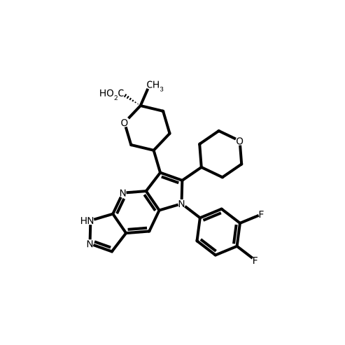 C[C@@]1(C(=O)O)CCC(c2c(C3CCOCC3)n(-c3ccc(F)c(F)c3)c3cc4cn[nH]c4nc23)CO1